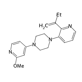 C=C(CC)c1ncccc1N1CCN(c2ccnc(OC)c2)CC1